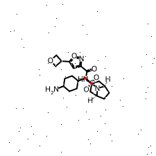 NC1CCC(CS(=O)(=O)N2[C@@H]3CC[C@H]2CC(NC(=O)c2cc(C4COC4)on2)C3)CC1